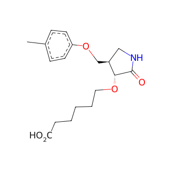 Cc1ccc(OC[C@H]2CNC(=O)[C@@H]2OCCCCCC(=O)O)cc1